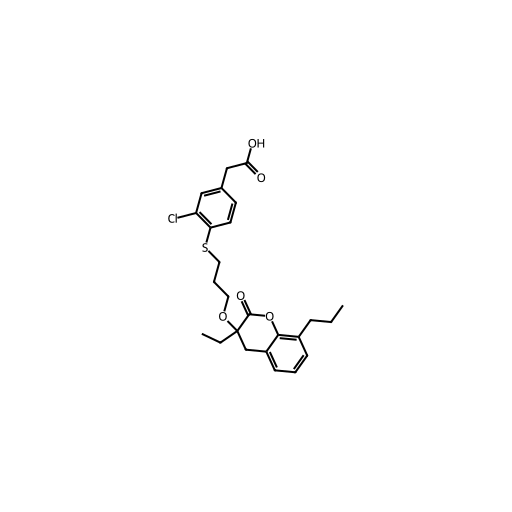 CCCc1cccc2c1OC(=O)C(CC)(OCCCSc1ccc(CC(=O)O)cc1Cl)C2